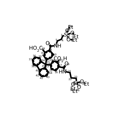 CCO[Si](CCCNC(=O)c1ccc(C2(c3ccc(C(=O)NCCC[Si](OCC)(OCC)OCC)c(C(=O)O)c3)c3ccccc3-c3ccccc32)cc1C(=O)O)(OCC)OCC